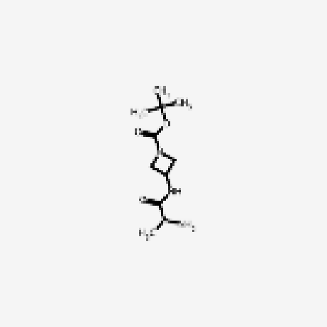 CC(N)C(=O)NC1CN(C(=O)OC(C)(C)C)C1